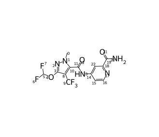 Cn1nc(OC(F)F)c(C(F)(F)F)c1C(=O)Nc1ccnc(C(N)=O)c1